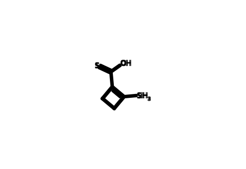 OC(=S)C1=C([SiH3])CC1